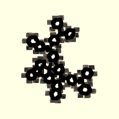 CC1(c2cc(N(C3=CC=C(N(c4ccccc4)c4ccccc4)CC3)c3ccc4ccccc4c3)ccc2-c2ccc(N(C3=CC=C(N(c4ccccc4)c4ccccc4)CC3)c3ccc4ccccc4c3)cc2)c2ccccc2-n2c3ccccc3c3cccc1c32